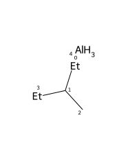 CCC(C)CC.[AlH3]